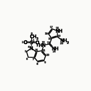 CS(=O)(=O)N1CCc2cccc(NC(=N)c3cc[nH]c3N)c21